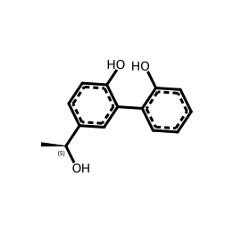 C[C@H](O)c1ccc(O)c(-c2ccccc2O)c1